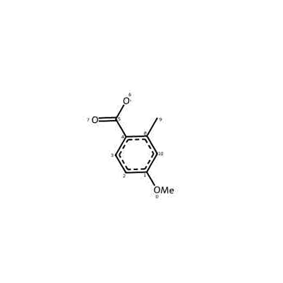 COc1ccc(C([O])=O)c(C)c1